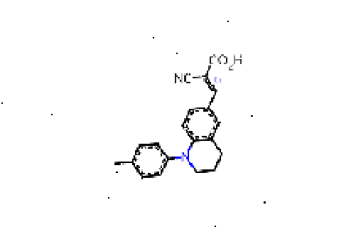 Cc1ccc(N2CCCc3cc(/C=C(\C#N)C(=O)O)ccc32)cc1